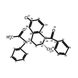 CC(=O)N(c1ccccc1)[C@H]1C[C@@H](C)N(C(=O)c2ccccc2)c2ccc(Cl)cc21